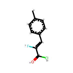 Cc1ccc(C=C(F)C(=O)Cl)cc1